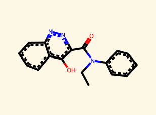 CCN(C(=O)c1nnc2ccccc2c1O)c1ccccc1